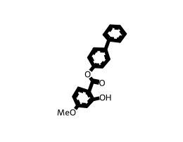 COc1ccc(C(=O)Oc2ccc(-c3ccccc3)cc2)c(O)c1